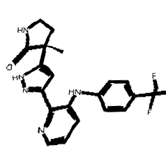 C[C@]1(c2cc(-c3ncccc3Nc3ccc(C(F)(F)F)cc3)n[nH]2)CCNC1=O